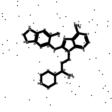 Nc1ncnc2c1nc(Sc1cc3c(cc1Br)OCO3)n2CCC(N)C1CCOCC1